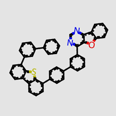 c1ccc(-c2cccc(-c3cccc4c3sc3c(-c5ccc(-c6cccc(-c7ncnc8c7oc7ccccc78)c6)cc5)cccc34)c2)cc1